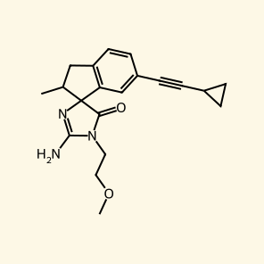 COCCN1C(=O)C2(N=C1N)c1cc(C#CC3CC3)ccc1CC2C